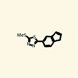 CSc1nnc(-c2ccc3c(c2)C=CC3)s1